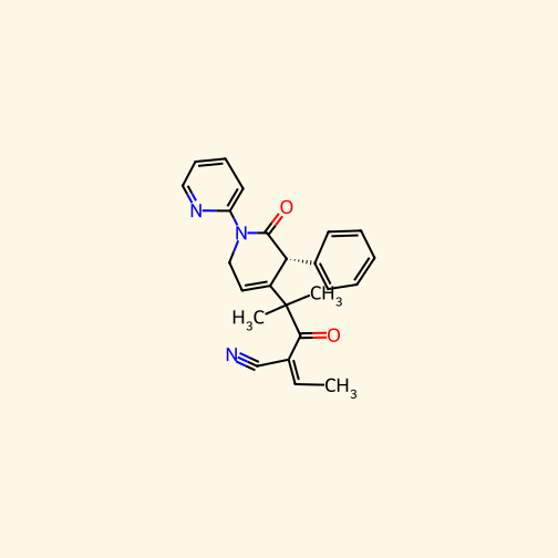 C/C=C(/C#N)C(=O)C(C)(C)C1=CCN(c2ccccn2)C(=O)[C@@H]1c1ccccc1